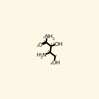 NC(=O)C(O)C(N)CO